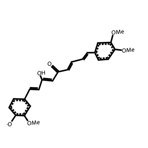 COc1ccc(/C=C/C=C/C(=O)/C=C(O)/C=C/c2ccc(OC)c(OC)c2)cc1OC